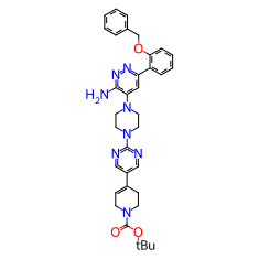 CC(C)(C)OC(=O)N1CC=C(c2cnc(N3CCN(c4cc(-c5ccccc5OCc5ccccc5)nnc4N)CC3)nc2)CC1